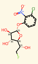 O=[N+]([O-])c1c(Cl)cccc1O[C@@H]1O[C@@H]([C@H](O)CF)[C@H](O)[C@H]1O